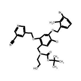 Cc1c(Br)cccc1COc1cc(OCc2cncc(C#N)c2)c(CN(CCO)C(=O)OC(C)(C)C)cc1Cl